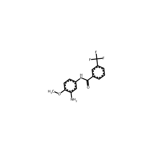 COc1ccc(NC(=O)c2cccc(C(F)(F)F)c2)cc1N